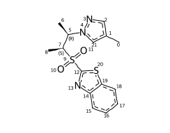 Cc1cnn([C@H](C)[C@H](C)S(=O)(=O)c2nc3ccccc3s2)c1